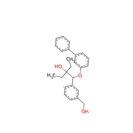 CCC(O)(CC)C(Oc1cccc(-c2ccccc2)c1)c1[c]ccc(CO)c1